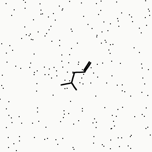 C=C[C]C(C)C